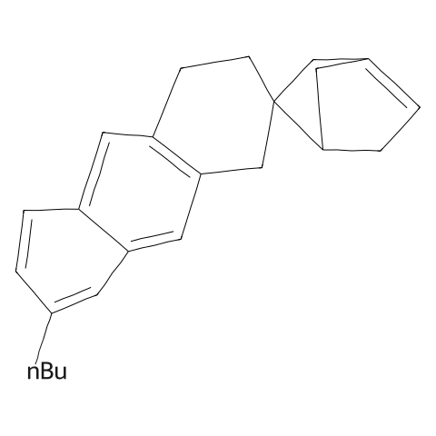 CCCCc1ccc2cc3c(cc2c1)CC1(CC3)CC2=CCC1C2